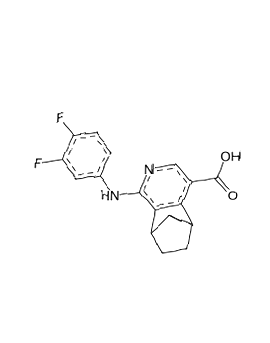 O=C(O)c1cnc(Nc2ccc(F)c(F)c2)c2c1C1CCC2C1